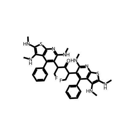 CNc1nc2sc(NC)c(NC)c2c(-c2ccccc2)c1C(CF)C(=O)C(CF)c1c(NC)nc2sc(NC)c(NC)c2c1-c1ccccc1